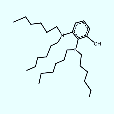 CCCCCCN(CCCCCC)c1cccc(O)c1N(CCCCCC)CCCCCC